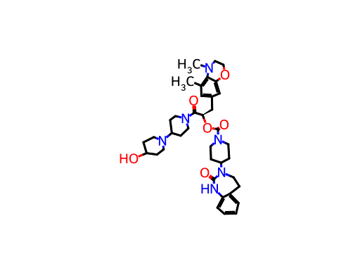 Cc1cc(C[C@@H](OC(=O)N2CCC(N3CCc4ccccc4NC3=O)CC2)C(=O)N2CCC(N3CCC(O)CC3)CC2)cc2c1N(C)CCO2